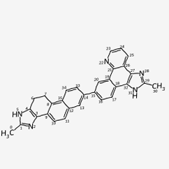 Cc1nc2c([nH]1)CCc1c-2ccc2cc(-c3ccc4c(c3)c3ncccc3c3nc(C)[nH]c43)ccc12